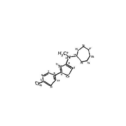 CN(c1csc(-c2ccc(Cl)cc2)n1)C1CCCCCC1